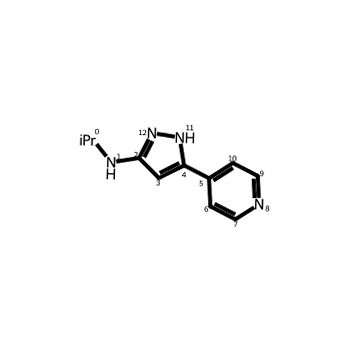 CC(C)Nc1cc(-c2ccncc2)[nH]n1